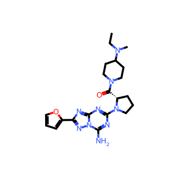 CCN(C)C1CCN(C(=O)[C@@H]2CCCN2c2nc(N)n3nc(-c4ccco4)nc3n2)CC1